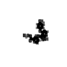 COC(=O)c1cc(Nc2n[nH]c3nccc(Oc4ccc(C)cc4)c23)ccn1